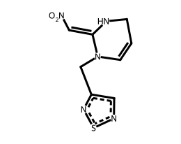 O=[N+]([O-])C=C1NCC=CN1Cc1cnsn1